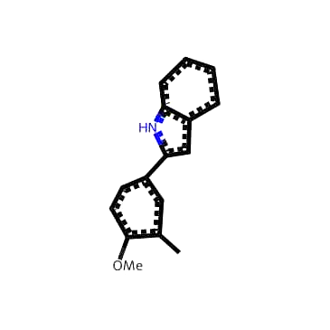 COc1ccc(-c2cc3ccccc3[nH]2)cc1C